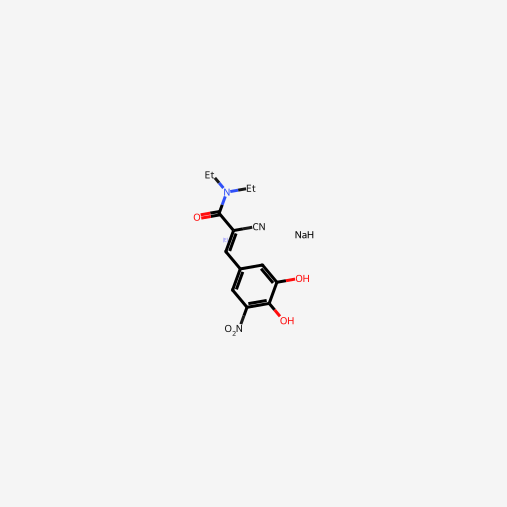 CCN(CC)C(=O)/C(C#N)=C/c1cc(O)c(O)c([N+](=O)[O-])c1.[NaH]